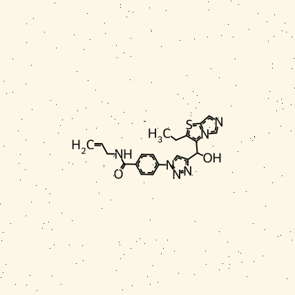 C=CCNC(=O)c1ccc(-n2cc(C(O)c3c(CC)sc4cncn34)nn2)cc1